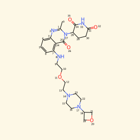 Cc1nc2cccc(NCCOCCN3CCN(C4COC4)CC3)c2c(=O)n1C1CCC(=O)NC1=O